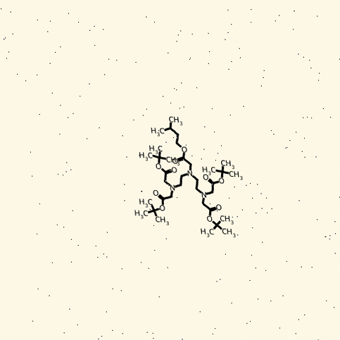 CC(C)CCOC(=O)CN(CCN(CC(=O)OC(C)(C)C)CC(=O)OC(C)(C)C)CCN(CC(=O)OC(C)(C)C)CC(=O)OC(C)(C)C